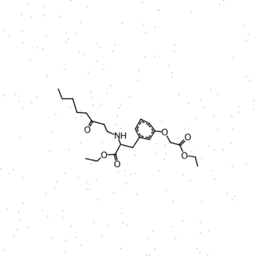 CCCCCC(=O)CCNC(Cc1cccc(OCC(=O)OCC)c1)C(=O)OCC